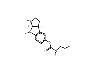 CCCN(C)C(=O)Oc1ccc2c(c1)[C@]1(C)CCN(C)[C@@H]1N2C